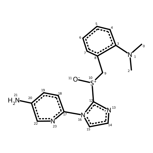 CN(C)c1ccccc1C[S+]([O-])c1nccn1-c1ccc(N)cn1